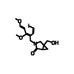 CO/C=C/C(OC)=C(\C=C/I)CN1CC2(CO)CC2C1=O